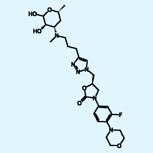 C[C@@H]1C[C@H](N(C)CCCc2cn(C[C@H]3CN(c4ccc(N5CCOCC5)c(F)c4)C(=O)O3)nn2)[C@@H](O)C(O)O1